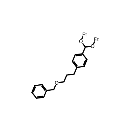 CCOC(OCC)c1ccc(CCCOCc2ccccc2)cc1